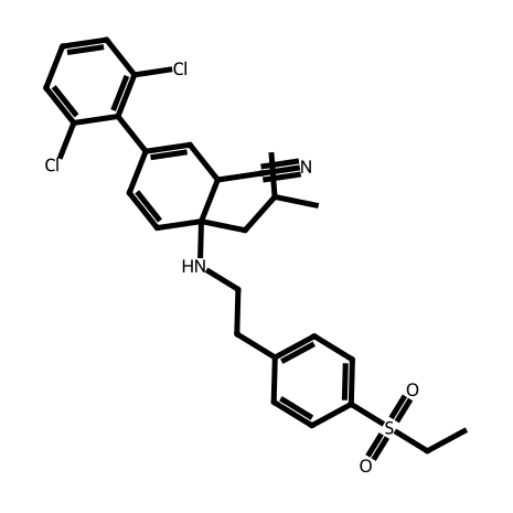 CCS(=O)(=O)c1ccc(CCNC2(CC(C)C)C=CC(c3c(Cl)cccc3Cl)=CC2C#N)cc1